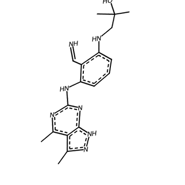 Cc1n[nH]c2nc(Nc3cccc(NCC(C)(C)O)c3C=N)nc(C)c12